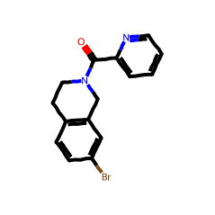 O=C(c1ccccn1)N1CCc2ccc(Br)cc2C1